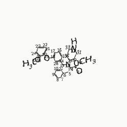 COC(=O)[C@H](Cc1ccccc1)N(Cc1cccc(Oc2ccccc2OC)c1)C1CCNCC1